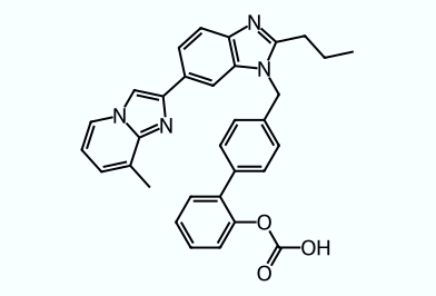 CCCc1nc2ccc(-c3cn4cccc(C)c4n3)cc2n1Cc1ccc(-c2ccccc2OC(=O)O)cc1